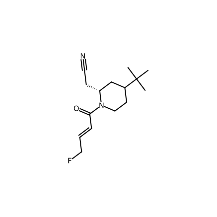 CC(C)(C)C1CCN(C(=O)/C=C/CF)[C@H](CC#N)C1